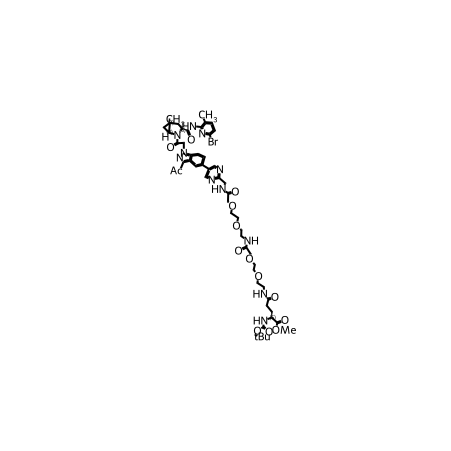 COC(=O)[C@H](CCC(=O)NCCOCCOCC(=O)NCCOCCOCC(=O)NCc1ncc(-c2ccc3c(c2)c(C(C)=O)nn3CC(=O)N2[C@H](C(=O)Nc3nc(Br)ccc3C)C[C@@]3(C)C[C@@H]23)cn1)NC(=O)OC(C)(C)C